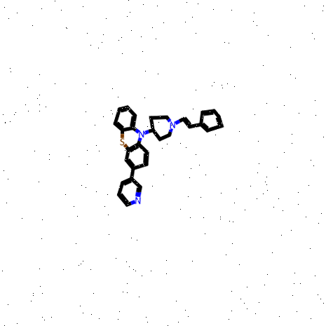 C(=CN1CCC(N2c3ccccc3Sc3cc(-c4cccnc4)ccc32)CC1)c1ccccc1